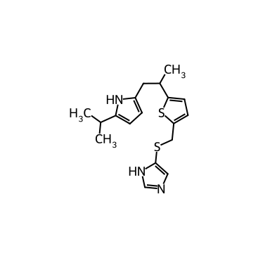 CC(C)c1ccc(CC(C)c2ccc(CSc3cnc[nH]3)s2)[nH]1